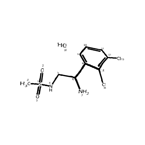 CS(=O)(=O)NCC(N)c1cccc(Cl)c1Cl.Cl